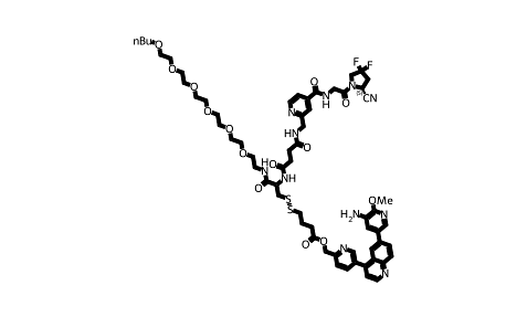 CCCCOCCOCCOCCOCCOCCOCCNC(=O)C(CSSCCCC(=O)OCc1ccc(-c2ccnc3ccc(-c4cnc(OC)c(N)c4)cc23)cn1)NC(=O)CCC(=O)NCc1cc(C(=O)NCC(=O)N2CC(F)(F)C[C@H]2C#N)ccn1